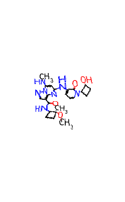 CNc1cc(Nc2cccn([C@H]3CC[C@H]3O)c2=O)nc2c(C(=O)NC3CC[C@]3(C)OC)cnn12